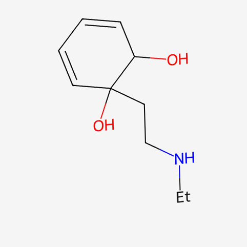 CCNCCC1(O)C=CC=CC1O